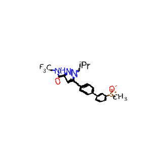 CC(C)Cn1nc(C(=O)NCC(F)(F)F)cc1-c1ccc(-c2cccc([S+](C)[O-])c2)cc1